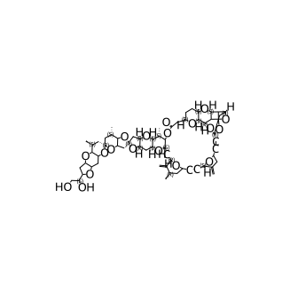 C=C1CC2CC[C@]34C[C@H]5OC6(O3)C3[C@@H](O[C@H]7CC[C@H](CC(=O)OC8[C@H](C[C@H]9OC(CC[C@@H]1O2)C[C@@H](C)C9=C)O[C@H]1C[C@H]2O[C@]9(CC%10O[C@]%11(C[C@H](C)C%12OC%13CC([C@@H](O)CO)OC%13CC%12O%11)C[C@H](C)C%10O9)C[C@H]2O[C@H]1[C@@H]8C)O[C@@H]7[C@@H]3O4)C56